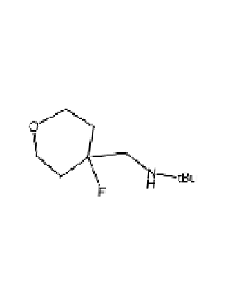 CC(C)(C)NCC1(F)CCOCC1